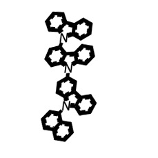 c1ccc2c(-n3c4ccccc4c4cc(-n5c6ccccc6c6c(-n7c8ccccc8c8ccccc87)cccc65)ccc43)cccc2c1